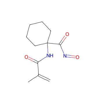 C=C(C)C(=O)NC1(C(=O)N=O)CCCCC1